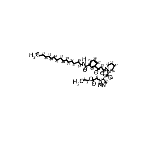 C=CCOC(=O)Cn1nnnc1SC(=O)N1CCCCN1C(=O)CC(=O)c1cccc(C(=O)NCCCCCCCCCCCCCCCC)c1